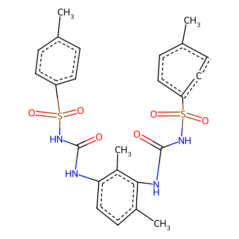 Cc1ccc(S(=O)(=O)NC(=O)Nc2ccc(C)c(NC(=O)NS(=O)(=O)c3ccc(C)cc3)c2C)cc1